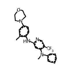 Cc1cc(N2CCOCC2)ccc1Nc1cc(N(C)c2ccccc2)c(C(F)(F)F)cn1